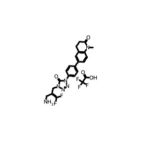 CN1C(=O)CCc2cc(-c3ccc(-n4nnn(CC(CN)=C(F)F)c4=O)cc3)ccc21.O=C(O)C(F)(F)F